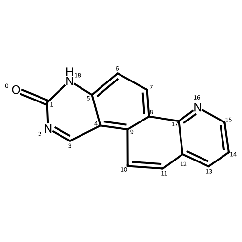 O=c1ncc2c(ccc3c2ccc2cccnc23)[nH]1